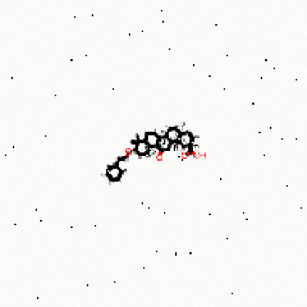 CC1(C)C2CC[C@]3(C)C(C(=O)C=C4[C@@H]5C[C@@](C)(C(=O)O)CC[C@]5(C)CC[C@]43C)[C@@]2(C)CC[C@@H]1OCCc1ccccc1